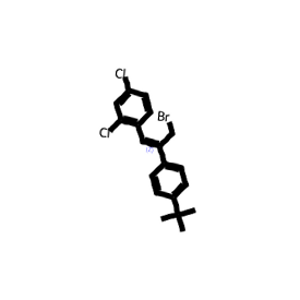 CC(C)(C)c1ccc(/C(=C/c2ccc(Cl)cc2Cl)CBr)cc1